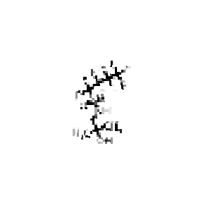 CC(C)(O)CNS(=O)(=O)C(F)(F)C(F)(F)C(F)(F)C(F)(F)F